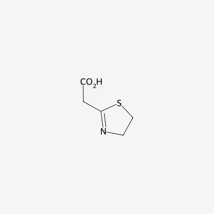 O=C(O)CC1=NCCS1